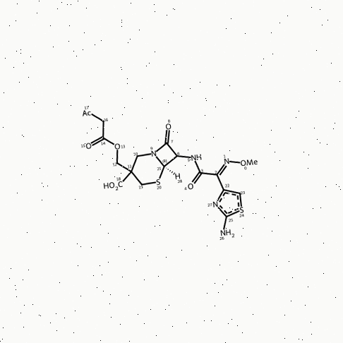 CON=C(C(=O)NC1C(=O)N2CC(COC(=O)CC(C)=O)(C(=O)O)CS[C@H]12)c1csc(N)n1